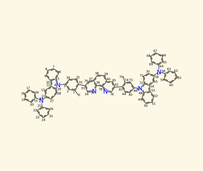 Cc1cc(-n2c3ccccc3c3cc(N(c4ccccc4)c4ccccc4)ccc32)ccc1-c1cnc2c(ccc3cc(-c4ccc(-n5c6ccccc6c6cc(N(c7ccccc7)c7ccccc7)ccc65)cc4C)cnc32)c1